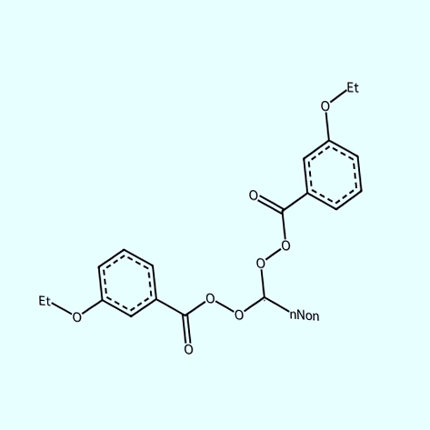 [CH2]CCCCCCCC[C](OOC(=O)c1cccc(OCC)c1)OOC(=O)c1cccc(OCC)c1